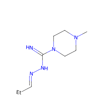 CC/C=N/NC(=N)N1CCN(C)CC1